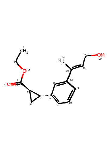 CCOC(=O)[C@@H]1C[C@H]1c1cccc(/C(C)=C/CO)c1